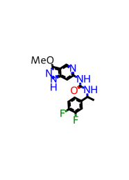 COc1n[nH]c2cc(NC(=O)NC(C)c3ccc(F)c(F)c3)ncc12